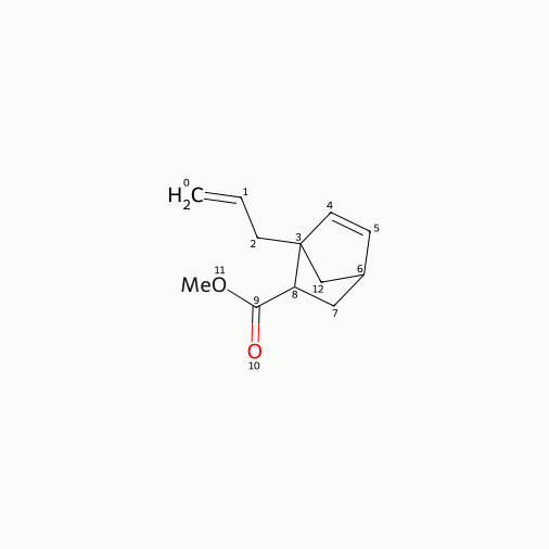 C=CCC12C=CC(CC1C(=O)OC)C2